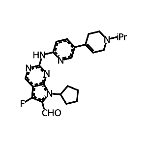 CC(C)N1CC=C(c2ccc(Nc3ncc4c(F)c(C=O)n(C5CCCC5)c4n3)nc2)CC1